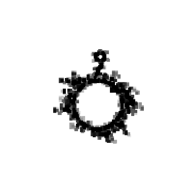 CCCC[C@@H](C)[C@@H](O)[C@H]1C(=O)N[C@@H](CC)C(=O)N(C)[C@H](SCCCN2CCOCC2)C(=O)N(C)[C@@H](CC(C)(C)OC)C(=O)N[C@@H](C(C)C)C(=O)N(C)[C@@H](CC(C)C)C(=O)N[C@@H](C)C(=O)N[C@H](C)C(=O)N(C)[C@@H](CC(C)C)C(=O)N(C)[C@@H](CC(C)C)C(=O)N(C)[C@@H](C(C)C)C(=O)N1C